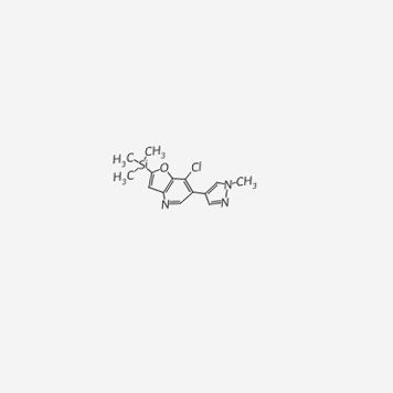 Cn1cc(-c2cnc3cc([Si](C)(C)C)oc3c2Cl)cn1